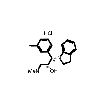 CNC[C@@H](O)[C@H](c1cccc(F)c1)N1CCc2ccccc21.Cl